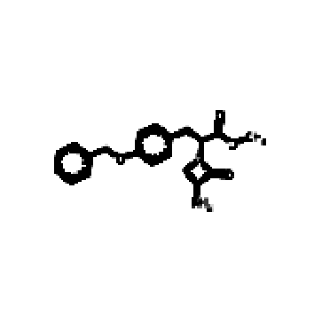 COC(=O)C(Cc1ccc(OCc2ccccc2)cc1)N1CC(N)C1=O